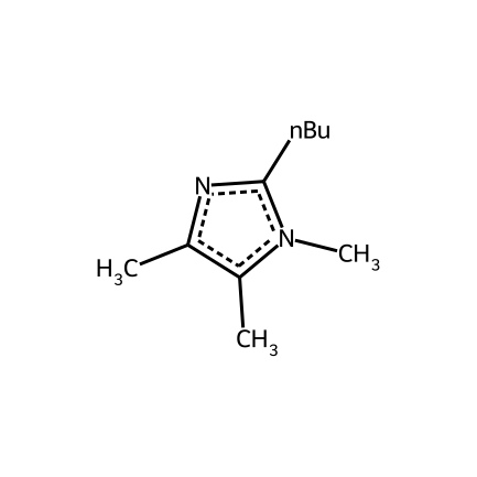 [CH2]CCCc1nc(C)c(C)n1C